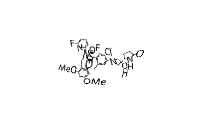 COc1ccc(CN(c2cccc(F)n2)S(=O)(=O)c2c(C)cc(N3CC(O)(C4CCC(=O)N4)C3)c(Cl)c2F)c(OC)c1